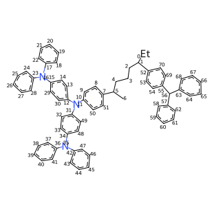 CCC(CCCC(C)c1ccc(N(c2ccc(N(c3ccccc3)c3ccccc3)cc2)c2ccc(N(c3ccccc3)c3ccccc3)cc2)cc1)c1ccc(C(c2ccccc2)c2ccccc2)cc1